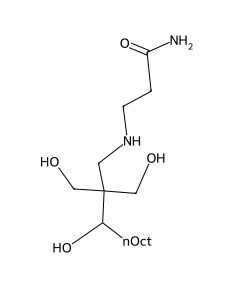 CCCCCCCCC(O)C(CO)(CO)CNCCC(N)=O